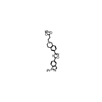 CC(C)n1ncc2cc(-c3nc(-c4ccc5c(c4)CCN(CCC(=O)OC(C)(C)C)C5)no3)ccc21